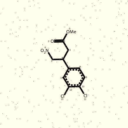 COC(=O)CC(C[N+](=O)[O-])c1ccc(Cl)c(Cl)c1